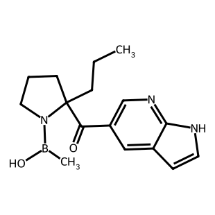 CCCC1(C(=O)c2cnc3[nH]ccc3c2)CCCN1B(C)O